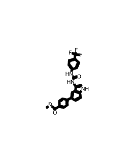 CN(C)C(=O)c1ccc(-c2ccc3[nH]cc(NC(=O)Nc4ccc(C(F)(F)F)cc4)c3c2)cc1